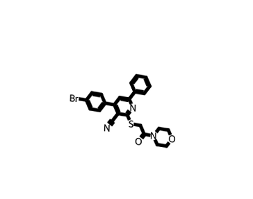 N#Cc1c(-c2ccc(Br)cc2)cc(-c2ccccc2)nc1SCC(=O)N1CCOCC1